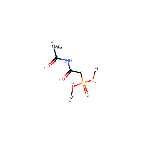 CCOP(=O)(CC(=O)NC(=O)OC)OCC